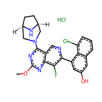 COc1nc(N2C[C@H]3CC[C@@H](C2)N3)c2cnc(-c3cc(O)cc4cccc(Cl)c34)c(F)c2n1.Cl